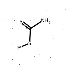 NC(=S)SF